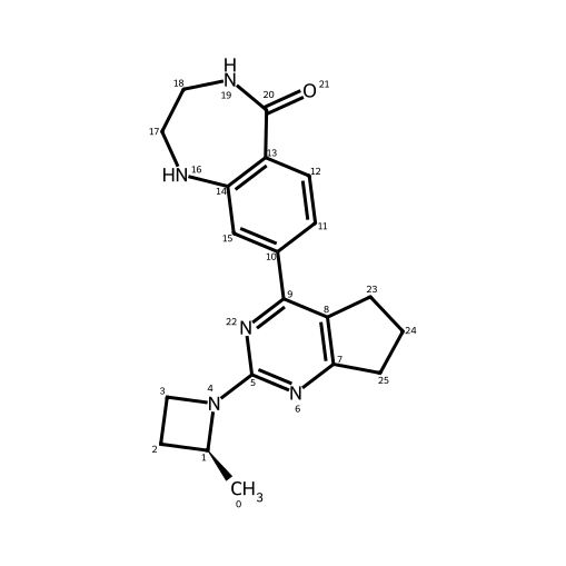 C[C@H]1CCN1c1nc2c(c(-c3ccc4c(c3)NCCNC4=O)n1)CCC2